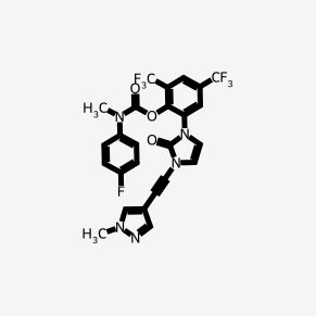 CN(C(=O)Oc1c(-n2ccn(C#Cc3cnn(C)c3)c2=O)cc(C(F)(F)F)cc1C(F)(F)F)c1ccc(F)cc1